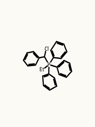 CCP(c1ccccc1)(c1ccccc1)(c1ccccc1)C(Cl)c1ccccc1